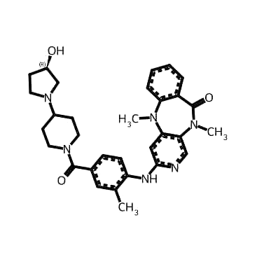 Cc1cc(C(=O)N2CCC(N3CC[C@@H](O)C3)CC2)ccc1Nc1cc2c(cn1)N(C)C(=O)c1ccccc1N2C